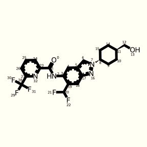 O=C(Nc1cc2cn([C@H]3CC[C@H](CO)CC3)nc2cc1C(F)F)c1cccc(C(F)(F)F)n1